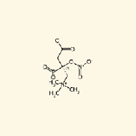 C[N+](C)(C)C[C@](CC(=O)[O-])(O[N+](=O)[O-])P(=O)=O